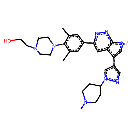 Cc1cc(-c2cc3c(-c4cnn(C5CCN(C)CC5)c4)c[nH]c3nn2)cc(C)c1N1CCN(CCO)CC1